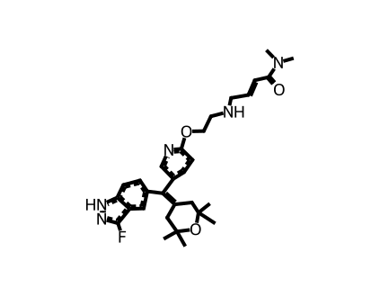 CN(C)C(=O)/C=C/CNCCOc1ccc(C(=C2CC(C)(C)OC(C)(C)C2)c2ccc3[nH]nc(F)c3c2)cn1